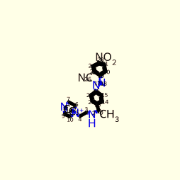 CC(NCC[N+]12CCN(CC1)CC2)c1ccc(N=Nc2ccc([N+](=O)[O-])cc2C#N)cc1